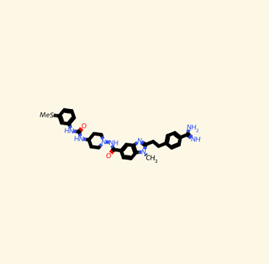 CSc1cccc(NC(=O)NC2CCN(NC(=O)c3ccc4c(c3)nc(CCc3ccc(C(=N)N)cc3)n4C)CC2)c1